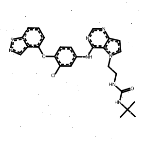 CC(C)(C)NC(=O)NCCn1ccc2ncnc(Nc3ccc(Oc4cccc5sncc45)c(Cl)c3)c21